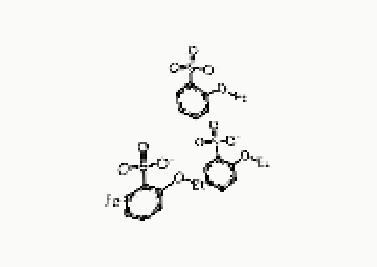 CCOc1ccccc1S(=O)(=O)[O-].CCOc1ccccc1S(=O)(=O)[O-].CCOc1ccccc1S(=O)(=O)[O-].[Fe+3]